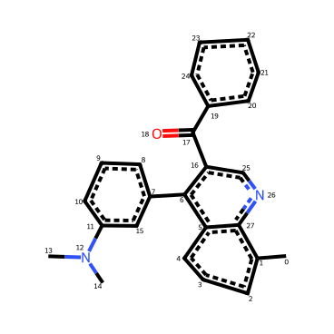 Cc1cccc2c(-c3cccc(N(C)C)c3)c(C(=O)c3ccccc3)cnc12